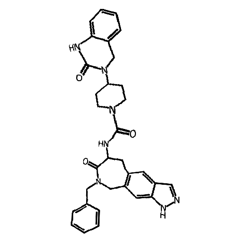 O=C(NC1Cc2cc3cn[nH]c3cc2CN(Cc2ccccc2)C1=O)N1CCC(N2Cc3ccccc3NC2=O)CC1